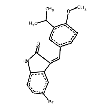 COc1ccc(C=C2C(=O)Nc3ccc(Br)cc32)cc1C(C)C